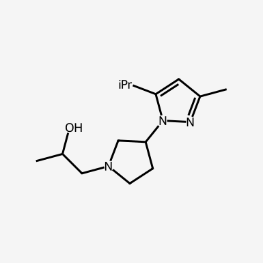 Cc1cc(C(C)C)n(C2CCN(CC(C)O)C2)n1